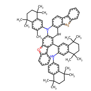 Cc1cc2c(cc1N1c3cc4oc5ccccc5c4c(-c4cc5c(cc4Nc4ccc6c(c4)C(C)(C)CCC6(C)C)C(C)(C)CCC5(C)C)c3Bc3c1ccc1c3sc3ccccc31)C(C)(C)CCC2(C)C